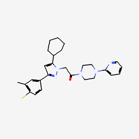 Cc1cc(-c2cc(C3CCCCC3)n(CC(=O)N3CCN(c4ccccn4)CC3)n2)ccc1F